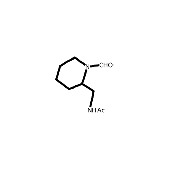 CC(=O)NCC1CCCCN1[C]=O